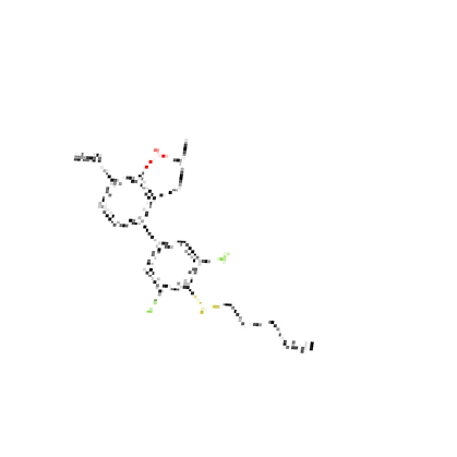 COc1ccc(-c2cc(F)c(SCCCC(=O)O)c(F)c2)c2c1OC(C)(C)C2